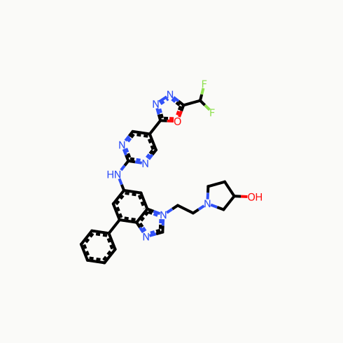 OC1CCN(CCn2cnc3c(-c4ccccc4)cc(Nc4ncc(-c5nnc(C(F)F)o5)cn4)cc32)C1